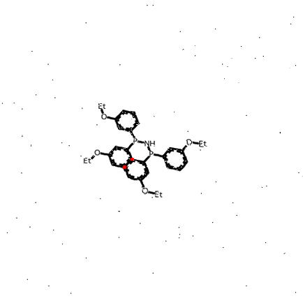 CCOc1cccc(P(NP(c2cccc(OCC)c2)c2cccc(OCC)c2)c2cccc(OCC)c2)c1